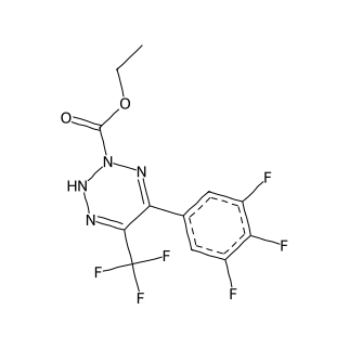 CCOC(=O)N1N=C(c2cc(F)c(F)c(F)c2)C(C(F)(F)F)=NN1